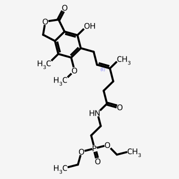 CCOP(=O)(CCNC(=O)CC/C(C)=C/Cc1c(O)c2c(c(C)c1OC)COC2=O)OCC